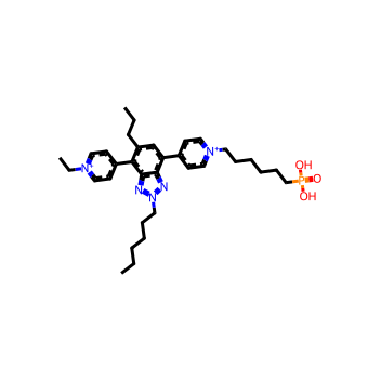 CCCCCCn1nc2c(-c3cc[n+](CCCCCCP(=O)(O)O)cc3)cc(CCC)c(-c3cc[n+](CC)cc3)c2n1